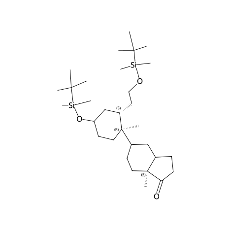 CC(C)(C)[Si](C)(C)OCC[C@H]1CC(O[Si](C)(C)C(C)(C)C)CC[C@]1(C)C1CC[C@]2(C)C(=O)CCC2C1